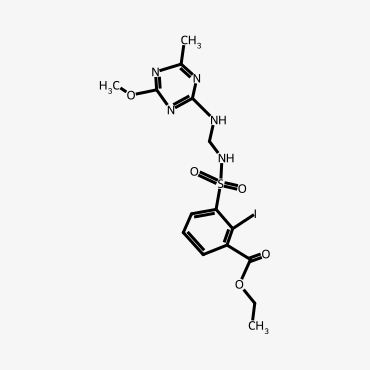 CCOC(=O)c1cccc(S(=O)(=O)NCNc2nc(C)nc(OC)n2)c1I